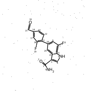 NC(=O)c1c[nH]c2c(F)cc(-c3ccc(C=O)cc3F)cc12